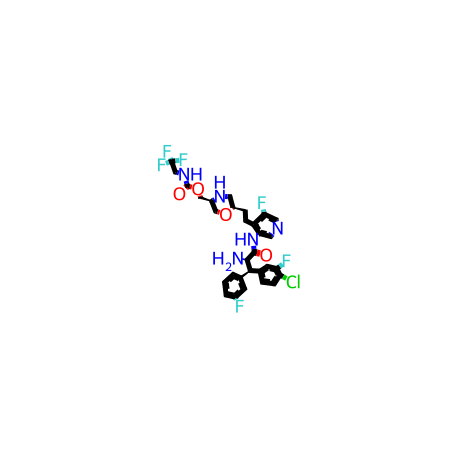 N[C@H](C(=O)Nc1cncc(F)c1CC[C@@H]1CN[C@H](COC(=O)NCC(F)(F)F)CO1)[C@H](c1cccc(F)c1)c1ccc(Cl)c(F)c1